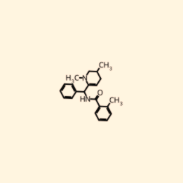 Cc1ccccc1C(=O)NC(C1=CCC(C)CN1C)c1ccccc1